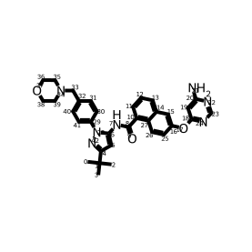 CC(C)(C)c1cc(NC(=O)c2cccc3cc(Oc4cc(N)ncn4)ccc23)n(-c2ccc(CN3CCOCC3)cc2)n1